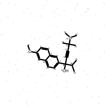 COc1ccc2cc(C(O)(C#CC(C)(C)N(C)C)C(C)C)ccc2c1